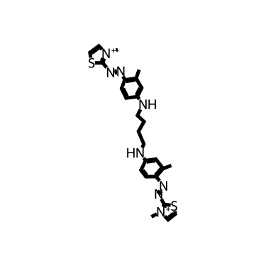 Cc1cc(NCCCCNc2ccc(/N=N/c3scc[n+]3C)c(C)c2)ccc1/N=N/c1scc[n+]1C